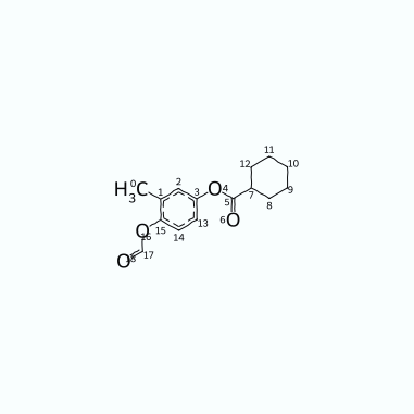 Cc1cc(OC(=O)C2CCCCC2)ccc1OC=O